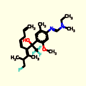 C=CC/C=C\C(=C(\C)C(C)CF)C(O)(c1cc(C)c(/N=C/N(C)CC)cc1OC)C(F)(F)F